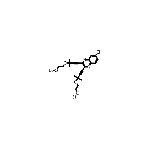 CCOCCOC(C)(C)C#Cc1nc2ccc(Cl)cc2nc1C#CC(C)(C)OCCOCC